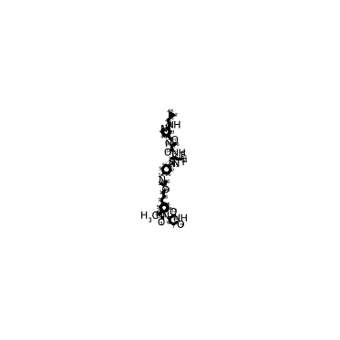 Cn1c(=O)n(C2CCC(=O)NC2=O)c2ccc(CCCOC3CN(C[C@H]4CC[C@H](n5cc(NC(=O)c6coc(-c7ccnc(NCC8CC8)c7)n6)c(C(F)F)n5)CC4)C3)cc21